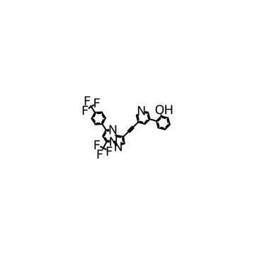 Oc1ccccc1-c1cncc(C#Cc2cnn3c(C(F)(F)F)cc(-c4ccc(C(F)(F)F)cc4)nc23)c1